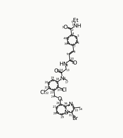 CCNC(=O)c1ccc(C=CC(=O)NCC(=O)N(C)c2ccc(Cl)c(COc3cccn4c(Br)c(C)nc34)c2Cl)cc1